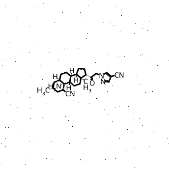 C[C@H]1CC(C#N)[C@@]2(N)[C@H](CC[C@H]3[C@@H]4CC[C@H](C(=O)Cn5cc(C#N)cn5)[C@@]4(C)CC[C@@H]32)C1